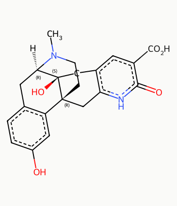 CN1CC[C@]23Cc4[nH]c(=O)c(C(=O)O)cc4C[C@@]2(O)[C@H]1Cc1ccc(O)cc13